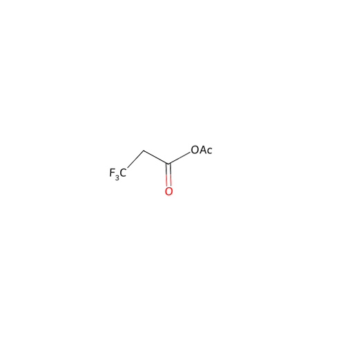 CC(=O)OC(=O)CC(F)(F)F